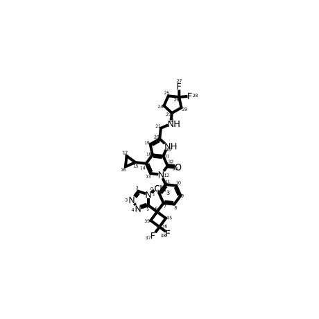 Cn1cnnc1C1(c2cccc(-n3cc(C4CC4)c4cc(CNC5CCC(F)(F)C5)[nH]c4c3=O)c2)CC(F)(F)C1